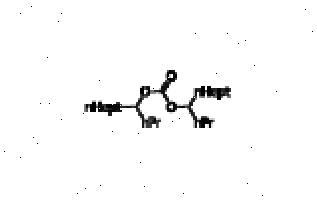 CCCCCCCC(CCC)OC(=O)OC(CCC)CCCCCCC